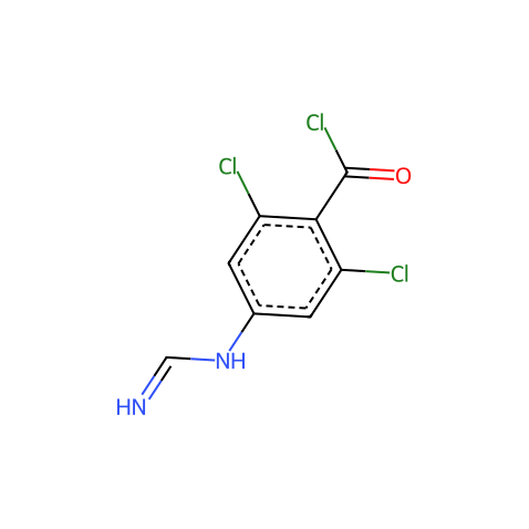 N=CNc1cc(Cl)c(C(=O)Cl)c(Cl)c1